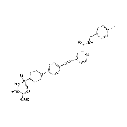 COC(=O)[C@@H](C)NS(=O)(=O)N1CCN(c2ccc(C#Cc3ccnc(C(=O)NCc4ccc(Cl)cc4)c3)cc2)CC1